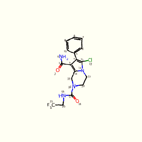 NC(=O)c1c(-c2ccccc2)c(Cl)n2c1CN(C(=O)NCC(F)(F)F)CC2